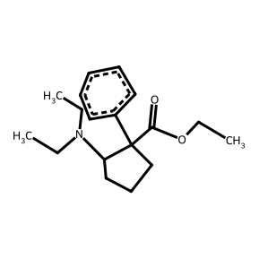 CCOC(=O)C1(c2ccccc2)CCCC1N(CC)CC